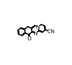 N#CC1=CCN2C=C3Cc4ccccc4C(=O)C3=NC2=C1